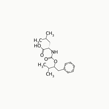 CC(C)C[C@H](NC(=O)OC(Cc1ccccc1)C(C)C)C(=O)O